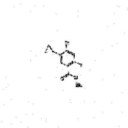 CCc1cc(F)c(C(=O)OC(C)(C)C)cc1C1CC1